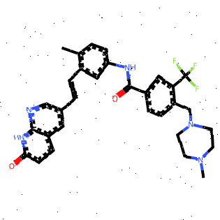 Cc1ccc(NC(=O)c2ccc(CN3CCN(C)CC3)c(C(F)(F)F)c2)cc1/C=C/c1cnc2[nH]c(=O)ccc2c1